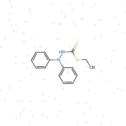 N#CCSC(=S)NN(c1ccccc1)c1ccccc1